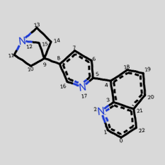 c1cnc2c(-c3ccc(C45CCN(CC4)C5)cn3)cccc2c1